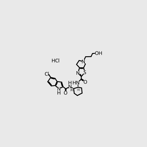 Cl.O=C(N[C@@H]1CCCC[C@@H]1NC(=O)c1nc2c(s1)CN(CCCO)CC2)c1cc2cc(Cl)ccc2[nH]1